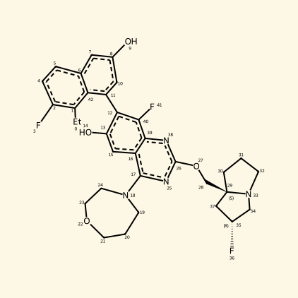 CCc1c(F)ccc2cc(O)cc(-c3c(O)cc4c(N5CCCOCC5)nc(OC[C@@]56CCCN5C[C@H](F)C6)nc4c3F)c12